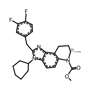 COC(=O)N1c2ccc3c(nc(Cc4ccc(F)c(F)c4)n3C3CCCCC3)c2CC[C@@H]1C